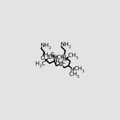 CN(C)C(COCC(CC(C)(C)OCCN)N(C)C)CC(C)(C)OCCN